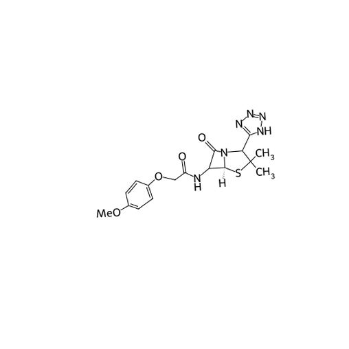 COc1ccc(OCC(=O)NC2C(=O)N3C(c4nnn[nH]4)C(C)(C)S[C@@H]23)cc1